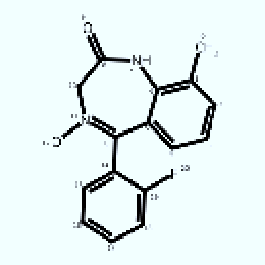 Cc1cccc2c1NC(=O)C[N+]([O-])=C2c1ccccc1F